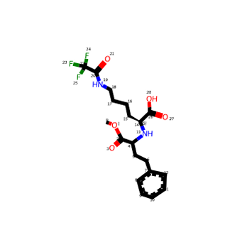 COC(=O)C(CCc1ccccc1)N[C@@H](CCCCNC(=O)C(F)(F)F)C(=O)O